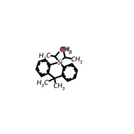 CC(C)[Si]1(C(C)C)c2ccccc2C(C)(C)c2ccccc21